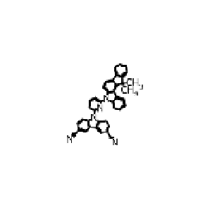 CC1(C)c2ccccc2-c2ccc3c(c21)c1ccccc1n3-c1cccc(-n2c3ccc(C#N)cc3c3cc(C#N)ccc32)n1